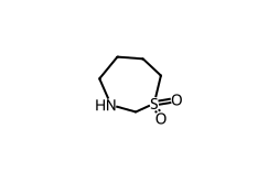 O=S1(=O)CCCCNC1